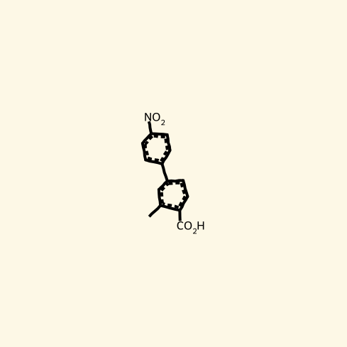 Cc1cc(-c2ccc([N+](=O)[O-])cc2)ccc1C(=O)O